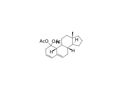 CC(=O)OC1(OC(C)=O)CC=CC2=CC[C@@H]3[C@H](CC[C@]4(C)CCC[C@@H]34)[C@H]21